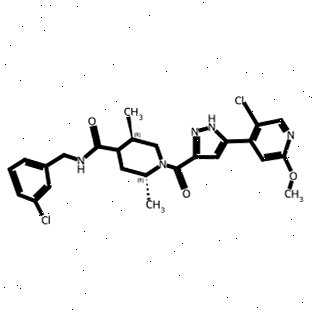 COc1cc(-c2cc(C(=O)N3C[C@H](C)C(C(=O)NCc4cccc(Cl)c4)C[C@H]3C)n[nH]2)c(Cl)cn1